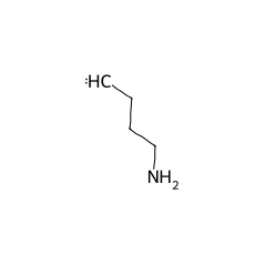 [CH]CCCN